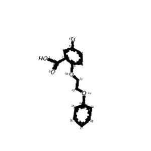 O=C(O)c1cc(Cl)ccc1OCCOc1ccccc1